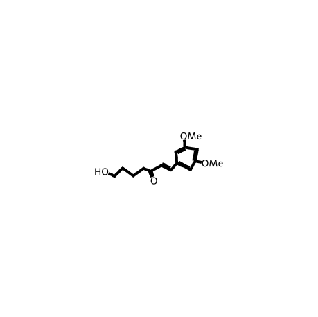 COc1cc(/C=C/C(=O)CCCCO)cc(OC)c1